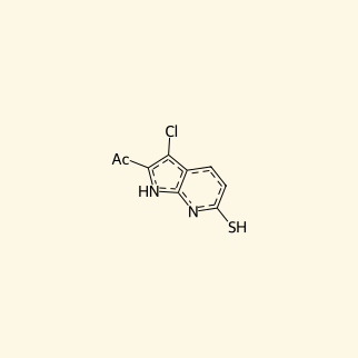 CC(=O)c1[nH]c2nc(S)ccc2c1Cl